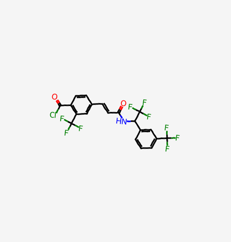 O=C(/C=C/c1ccc(C(=O)Cl)c(C(F)(F)F)c1)NC(c1cccc(C(F)(F)F)c1)C(F)(F)F